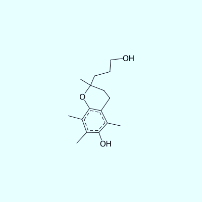 Cc1c(C)c2c(c(C)c1O)CCC(C)(CCCO)O2